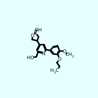 CCCOc1cc(-c2cc(C3COB(O)C3)cc(CO)n2)ccc1OC